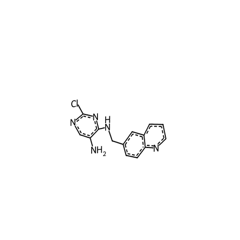 Nc1cnc(Cl)nc1NCc1ccc2ncccc2c1